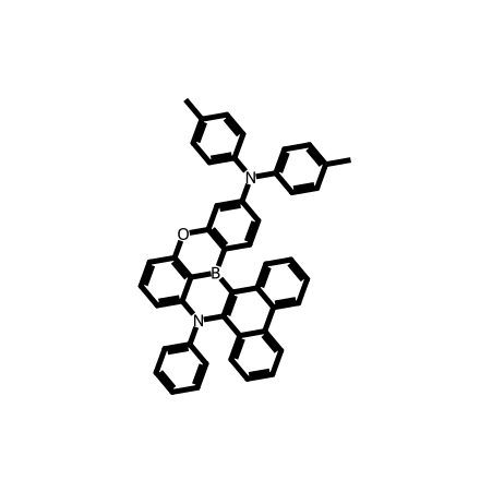 Cc1ccc(N(c2ccc(C)cc2)c2ccc3c(c2)Oc2cccc4c2B3c2c(c3ccccc3c3ccccc23)N4c2ccccc2)cc1